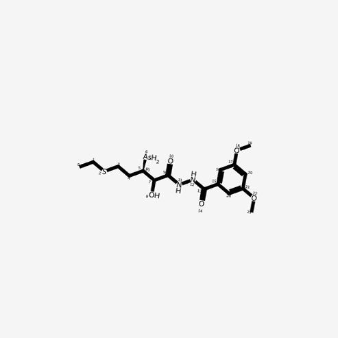 CCSCC[C@@H]([AsH2])C(O)C(=O)NNC(=O)c1cc(OC)cc(OC)c1